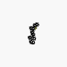 c1ccc2c(-c3c4ccccc4c(-c4ccc5cc(-c6cc7sc8c9ccccc9ccc8c7c7ccccc67)ccc5c4)c4ccccc34)cccc2c1